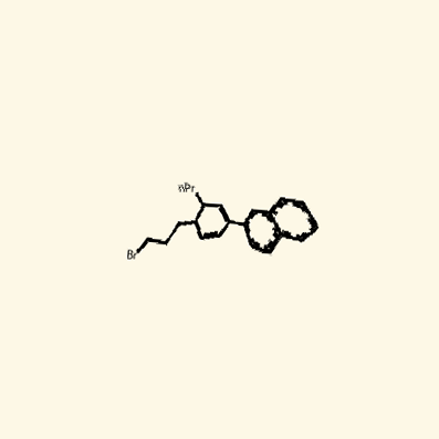 CCCC1C=C(c2ccc3ccccc3c2)C=CC1CCCBr